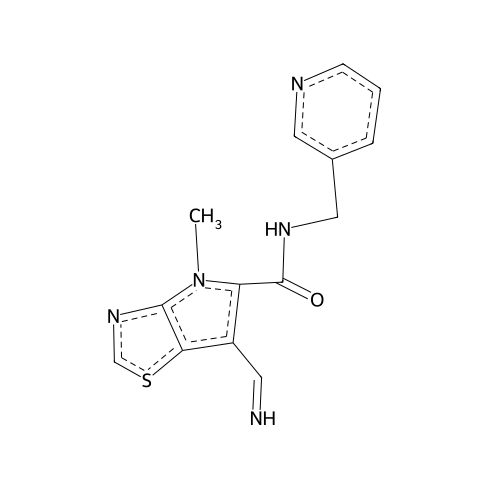 Cn1c(C(=O)NCc2cccnc2)c(C=N)c2scnc21